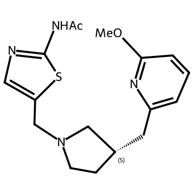 COc1cccc(C[C@@H]2CCN(Cc3cnc(NC(C)=O)s3)C2)n1